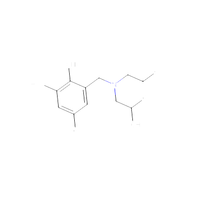 CCCN(Cc1cc(C)cc(C)c1C)CC(C)C